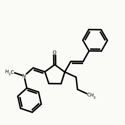 CCCC1(C=Cc2ccccc2)CCC(=CN(C)c2ccccc2)C1=O